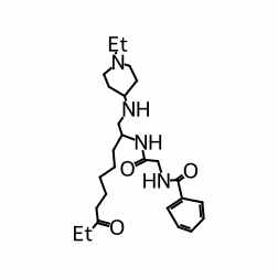 CCC(=O)CCCCCC(CNC1CCN(CC)CC1)NC(=O)CNC(=O)c1ccccc1